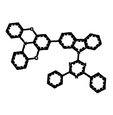 c1ccc(-c2nc(-c3ccccc3)nc(-n3c4ccccc4c4ccc(-c5cc6c7c(c5)Oc5ccccc5N7c5ccccc5O6)cc43)n2)cc1